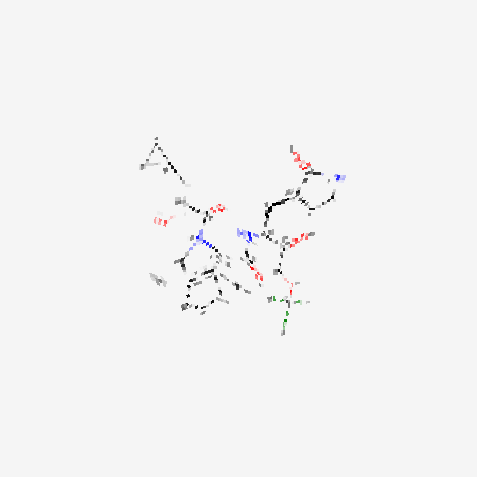 O=C1NCC[C@H]1C[C@H](NC(=O)[C@@H]1[C@H]2CCC[C@H]2CN1C(=O)[C@H](O)CC1CC1)C(=O)COC(F)(F)F